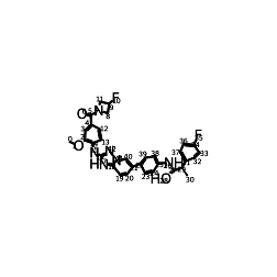 COc1cc(C(=O)N2CC(F)C2)ccc1Nc1nc2ccc(-c3ccc(NC(O)[C@H](C)c4ccc(F)cc4)cc3)cn2n1